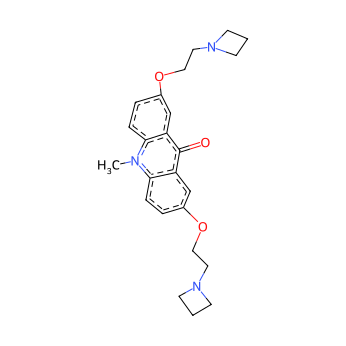 Cn1c2ccc(OCCN3CCC3)cc2c(=O)c2cc(OCCN3CCC3)ccc21